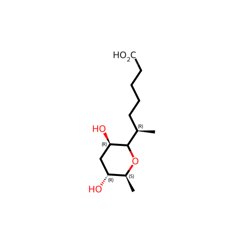 C[C@H](CCCCC(=O)O)C1O[C@@H](C)[C@H](O)C[C@H]1O